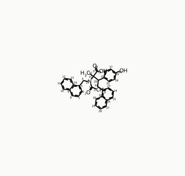 CC(=O)N(Cc1cccc2ccccc12)C(C)(C(=O)O)C(Cc1cccc2ccccc12)c1ccc(O)cc1